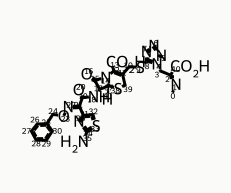 C/N=C(\Cn1nnnc1SCC1=C(C(=O)O)N2C(=O)C(NC(=O)/C(=N/OCc3ccccc3)c3csc(N)n3)[C@H]2SC1)C(=O)O